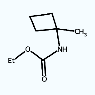 CCOC(=O)NC1(C)CCC1